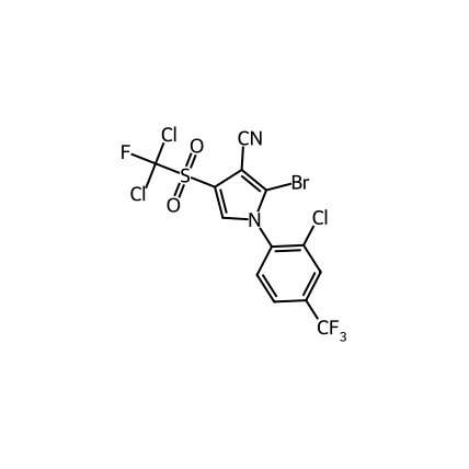 N#Cc1c(S(=O)(=O)C(F)(Cl)Cl)cn(-c2ccc(C(F)(F)F)cc2Cl)c1Br